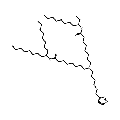 CCCCCCCCC(CC)OC(=O)CCCCCCCN(CCCCCCCC(=O)OC(CCCCCCCC)CCCCCCCC)CCCNSCc1ccon1